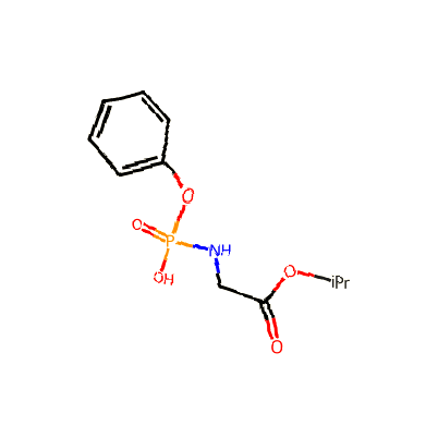 CC(C)OC(=O)CNP(=O)(O)Oc1ccccc1